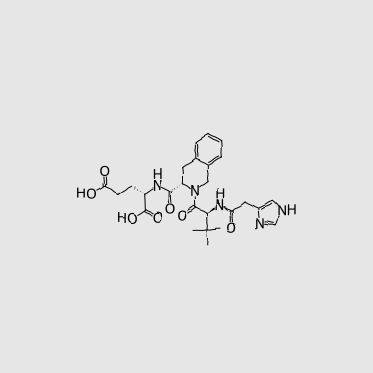 CC(C)(C)[C@H](NC(=O)Cc1c[nH]cn1)C(=O)N1Cc2ccccc2C[C@H]1C(=O)N[C@@H](CCC(=O)O)C(=O)O